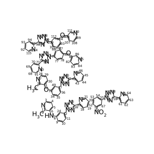 Cc1ncccc1Nc1cccc(-n2nnc(-c3ccccn3)n2)c1.Cc1ncccc1Oc1cccc(-n2nnc(-c3ccccn3)n2)c1.O=[N+]([O-])c1cccc(-n2nnc(-c3ccccn3)n2)c1.c1ccc(-c2nnn(-c3ccc(Oc4cccnc4)cc3)n2)nc1.c1ccc(-c2nnn(-c3cccc(Oc4cccnc4)c3)n2)nc1